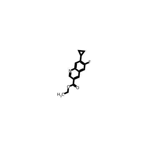 CCOC(=O)c1cnc2cc(C3CC3)c(F)cc2c1